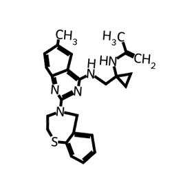 C=C(C)NC1(CNc2nc(N3CCSc4ccccc4C3)nc3ccc(C)cc23)CC1